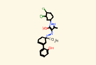 Cc1nn(C2CCC(Cl)C(Cl)C2)c(O)c1N=NC1(C(=O)O)C=CC=C(c2ccccc2O)C1